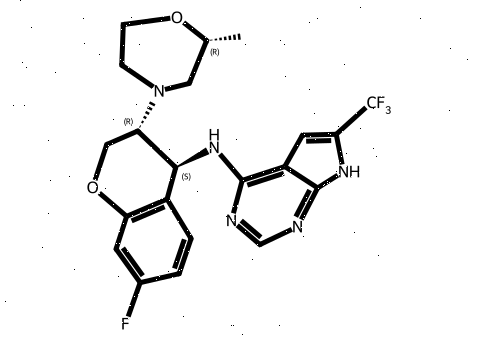 C[C@@H]1CN([C@H]2COc3cc(F)ccc3[C@@H]2Nc2ncnc3[nH]c(C(F)(F)F)cc23)CCO1